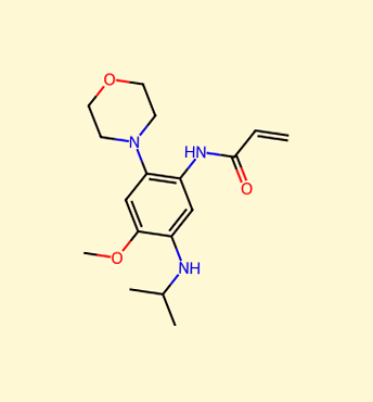 C=CC(=O)Nc1cc(NC(C)C)c(OC)cc1N1CCOCC1